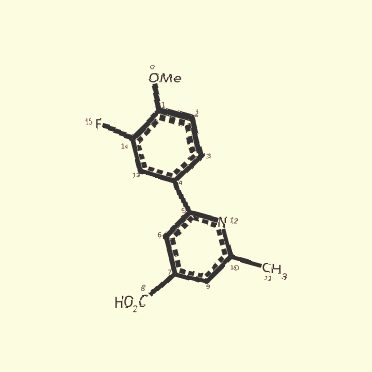 COc1ccc(-c2cc(C(=O)O)cc(C)n2)cc1F